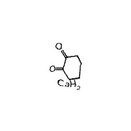 O=C1CCCCC1=O.[CaH2]